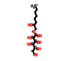 CCCCCCC(O)COC(O)[C@H](O)[C@@H](O)[C@H](O)[C@H](O)CO